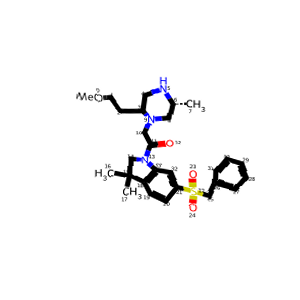 COCCC1CN[C@H](C)CN1CC(=O)N1CC(C)(C)c2ccc(S(=O)(=O)Cc3ccccc3)cc21